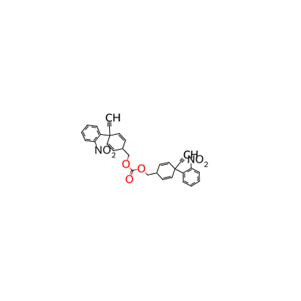 C#CC1(c2ccccc2[N+](=O)[O-])C=CC(COC(=O)OCC2C=CC(C#C)(c3ccccc3[N+](=O)[O-])C=C2)C=C1